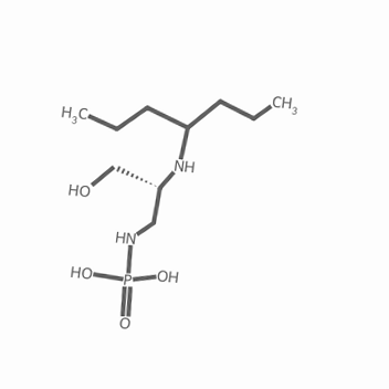 CCCC(CCC)N[C@@H](CO)CNP(=O)(O)O